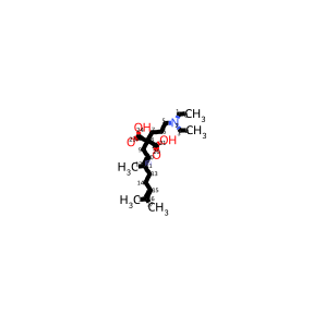 CCN(CC)CCCC(C/C=C(\C)CCC=C(C)C)(C(=O)O)C(=O)O